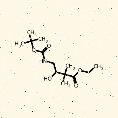 CCOC(=O)C(C)(C)C(O)CNC(=O)OC(C)(C)C